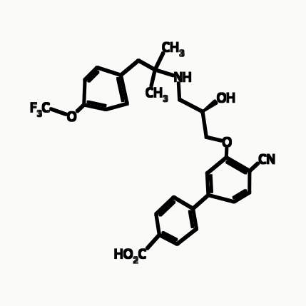 CC(C)(Cc1ccc(OC(F)(F)F)cc1)NC[C@@H](O)COc1cc(-c2ccc(C(=O)O)cc2)ccc1C#N